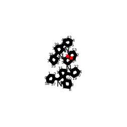 c1ccc(-c2nc3ccccc3c3c2ccc2c3c3ccccc3n2-c2cccc(-n3c4ccccc4c4ccc5c6ccccc6n(-c6ccccc6)c5c43)c2)cc1